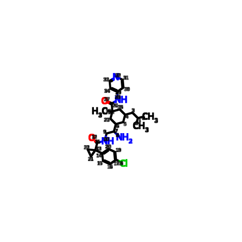 CC(C)CC1CC(C(N)CNC(=O)C2(c3ccc(Cl)cc3)CC2)CC(C)(C(=O)Nc2ccncc2)C1